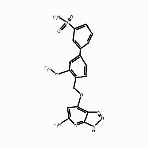 Nc1cc(OCc2ccc(-c3cccc(S(N)(=O)=O)c3)cc2OC(F)(F)F)c2nn[nH]c2n1